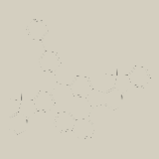 CC1(C)c2ccccc2-c2ccc(N(c3ccc(-c4ccccc4)cc3)c3ccc4c5c6c(ccc5n(-c5cccc7ccccc57)c4c3)-c3ccccc3C6(C)C)cc21